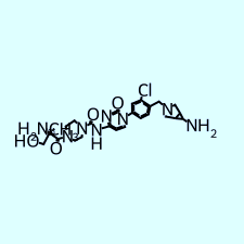 C[C@](N)(CO)C(=O)N1CCN(C(=O)Nc2ccn(-c3ccc(CN4CC5C(N)C5C4)c(Cl)c3)c(=O)n2)CC1